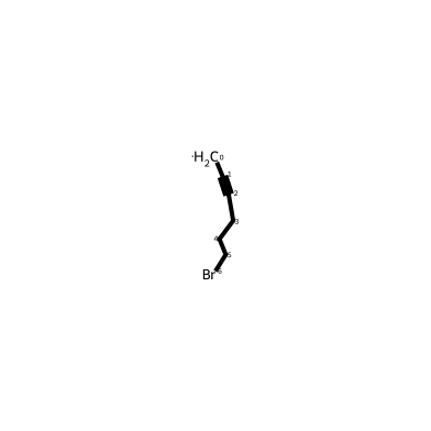 [CH2]C#CCCCBr